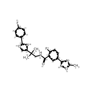 Cc1nc(-c2ccc(F)c(C(=O)NCC(C)(C)c3coc(-c4ccc(F)cc4)n3)c2)no1